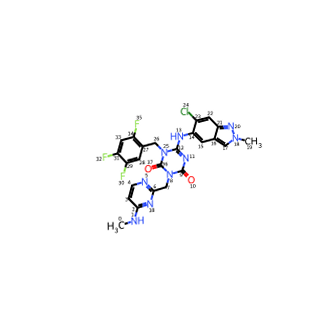 CNc1ccnc(Cn2c(=O)nc(Nc3cc4cn(C)nc4cc3Cl)n(Cc3cc(F)c(F)cc3F)c2=O)n1